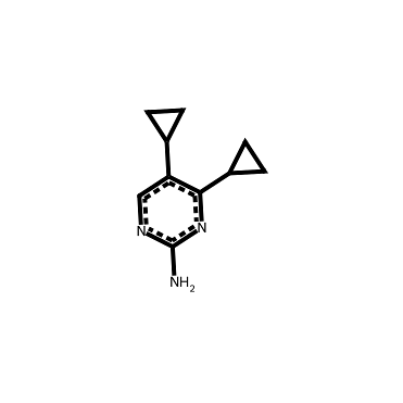 Nc1ncc(C2CC2)c(C2CC2)n1